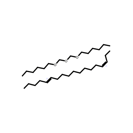 CC/C=C\CCCCCCCC/C=C/CCCC.CCCCCCOCOCOCCCCCC